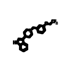 FC(F)(F)COc1cccc(CN2CCC(c3c[nH]c4ccccc34)CC2)c1